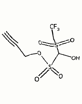 C#CCOS(=O)(=O)C(O)S(=O)(=O)C(F)(F)F